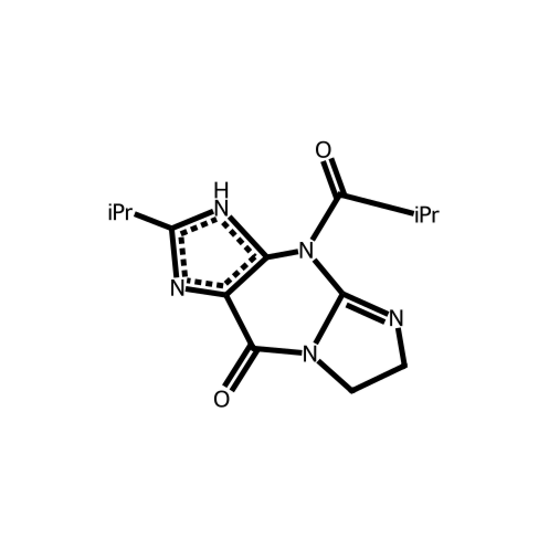 CC(C)C(=O)N1C2=NCCN2C(=O)c2nc(C(C)C)[nH]c21